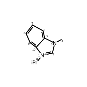 CC(C)[n+]1cn(C)c2ccccc21